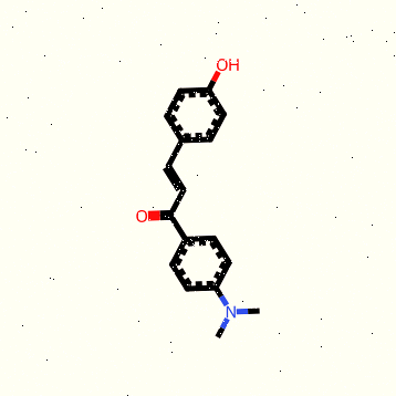 CN(C)c1ccc(C(=O)C=Cc2ccc(O)cc2)cc1